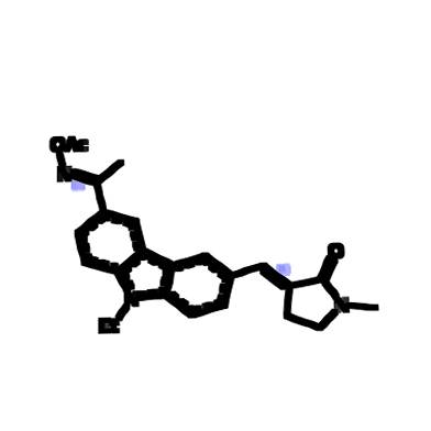 CCn1c2ccc(/C=C3\CCN(C)C3=O)cc2c2cc(/C(C)=N/OC(C)=O)ccc21